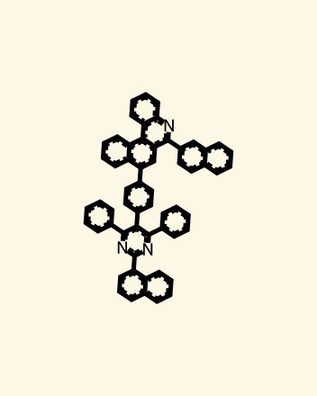 c1ccc(-c2nc(-c3cccc4ccccc34)nc(-c3ccccc3)c2-c2ccc(-c3cc4c(-c5ccc6ccccc6c5)nc5ccccc5c4c4ccccc34)cc2)cc1